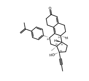 C=C(C)c1ccc([C@H]2C[C@@]3(C)[C@@H](CC[C@@]3(O)C#CC)[C@@H]3CCC4=CC(=O)CCC4=C32)cc1